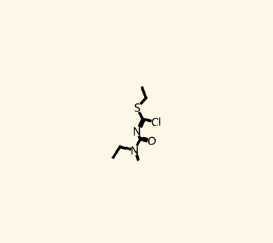 CCSC(Cl)=NC(=O)N(C)CC